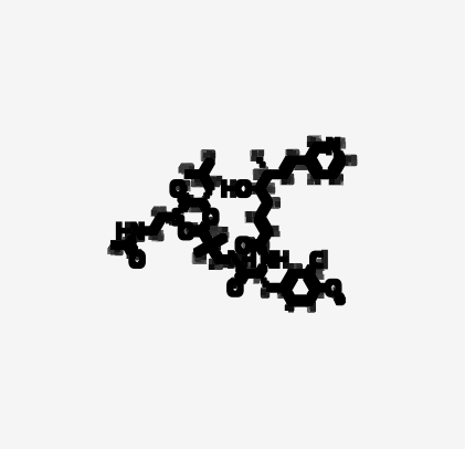 COc1ccc(C[C@@H](NC(=O)/C=C/C[C@H](O)[C@H](C)/C=C/c2cccnc2)C(=O)NCC(C)(C)C(=O)O[C@@H](CC(C)C)C(=O)SCCNC(C)=O)cc1Cl